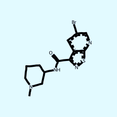 CN1CCCC(NC(=O)c2nsc3ncc(Br)cc23)C1